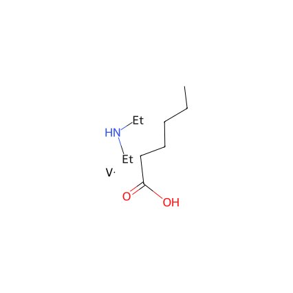 CCCCCC(=O)O.CCNCC.[V]